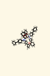 C1=CCC(c2ccc(N(c3ccc(-c4ccccc4)cc3)c3ccc(-c4ccccc4)cc3)cc2)=c2oc3c(-c4ccc(N(c5ccc(-c6ccccc6)cc5)c5ccc(-c6ccccc6)cc5)cc4)cccc3c2=C1